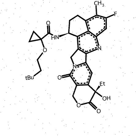 CC[C@@]1(O)C(=O)OCc2c1cc1n(c2=O)Cc2c-1nc1cc(F)c(C)c3c1c2[C@@H](NC(=O)C1(OCCC(C)(C)C)CC1)CC3